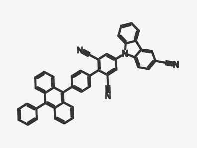 N#Cc1ccc2c(c1)c1ccccc1n2-c1cc(C#N)c(-c2ccc(-c3c4ccccc4c(-c4ccccc4)c4ccccc34)cc2)c(C#N)c1